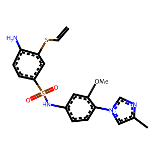 C=CSc1cc(S(=O)(=O)Nc2ccc(-n3cnc(C)c3)c(OC)c2)ccc1N